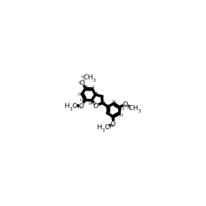 COC1=CC2CC(c3cc(OC)cc(OC)c3)OC2C(OC)=C1